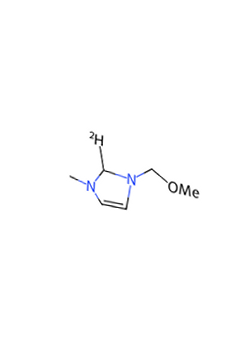 [2H]C1N(C)C=CN1COC